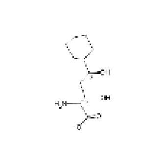 NC(C(=O)O)[C@@H](O)C[C@H](O)C1CCCCC1